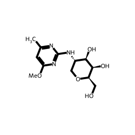 COc1cc(C)nc(N[C@H]2CO[C@H](CO)[C@H](O)[C@@H]2O)n1